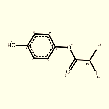 O=C(Oc1ccc(O)cc1)C(I)I